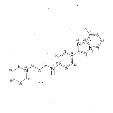 Cc1cccn2cc(-c3ccc(NCCCN4CCCCC4)cc3)nc12